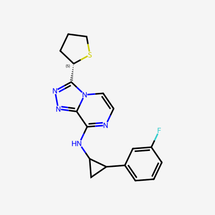 Fc1cccc(C2CC2Nc2nccn3c([C@@H]4CCCS4)nnc23)c1